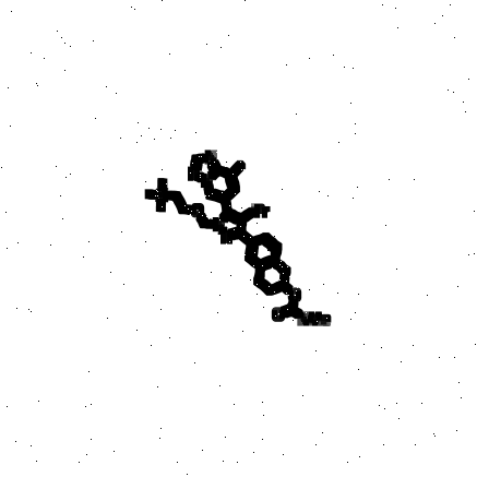 CNC(=O)OC1CCc2cc(-c3nn(COCC[Si](C)(C)C)c(-c4cc(C)c5ncnn5c4)c3C(C)C)ccc2C1